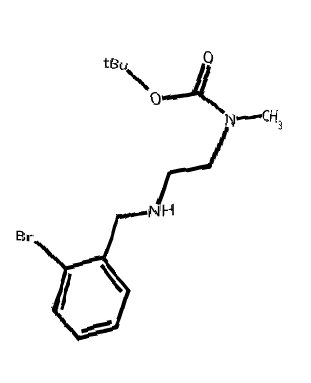 CN(CCNCc1ccccc1Br)C(=O)OC(C)(C)C